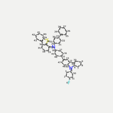 Fc1ccc(-n2c3ccccc3c3cc(-c4ccc(N(c5ccc(-c6ccccc6)cc5)c5cccc6c5sc5ccccc56)cc4)ccc32)cc1